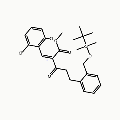 COC(=O)/C(=C\c1c(Cl)cccc1Cl)C(=O)CCc1ccccc1CO[Si](C)(C)C(C)(C)C